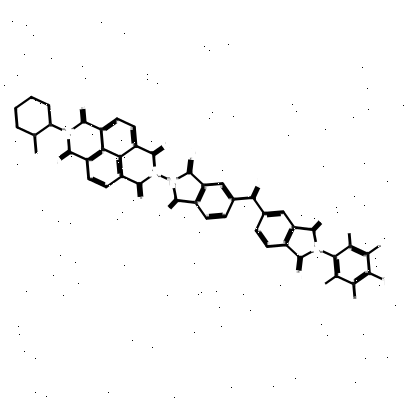 CC1CCCCC1N1C(=O)c2ccc3c4c(ccc(c24)C1=O)C(=O)N(N1C(=O)c2ccc(C(=O)c4ccc5c(c4)C(=O)N(c4c(F)c(F)c(F)c(F)c4F)C5=O)cc2C1=O)C3=O